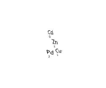 [Cd].[Cu].[Pd].[Zn]